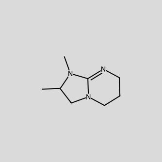 CC1CN2CCCN=C2N1C